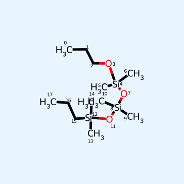 CCCO[Si](C)(C)O[Si](C)(C)O[Si](C)(C)CCC